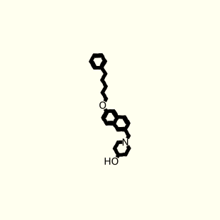 OC1CCN(Cc2ccc3cc(OCCCCCc4ccccc4)ccc3c2)CC1